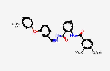 COc1ccc(C(=O)Nc2ccccc2C(=O)N/N=C\c2cccc(Oc3cccc(C(F)(F)F)c3)c2)cc1OC